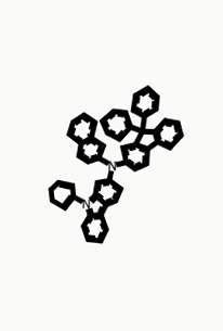 C1=CC(n2c3ccccc3c3ccc(N(c4ccc5c(c4)C(c4ccccc4)(c4ccccc4)c4ccccc4-5)c4ccc5ccccc5c4)cc32)=CCC1